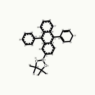 CC1(C)OB(c2ccc3c(C4=CCCC=C4)c4ccccc4c(-c4ccccc4)c3c2)OC1(C)C